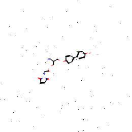 CCCCCCCCCCOc1ccc(-c2ccc(OCC(CN)COC(=O)CN3C(=O)C=CC3=O)cc2)c(F)c1